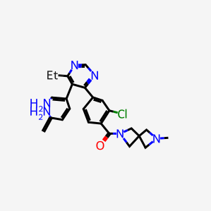 C=C(N)/C=C\C(=C/N)c1c(CC)ncnc1-c1ccc(C(=O)N2CC3(CN(C)C3)C2)c(Cl)c1